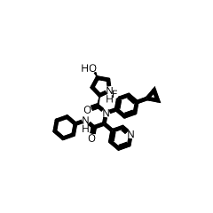 O=C(NC1CCCCC1)C(c1cccnc1)N(C(=O)[C@H]1C[C@@H](O)CN1)c1ccc(C2CC2)cc1F